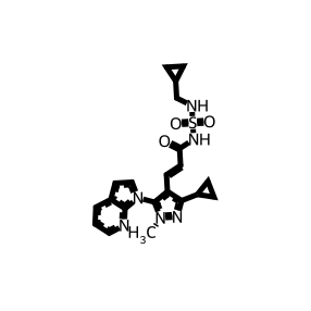 Cn1nc(C2CC2)c(C=CC(=O)NS(=O)(=O)NCC2CC2)c1-n1ccc2cccnc21